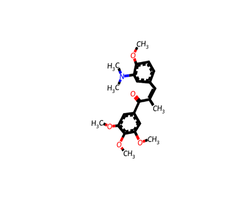 COc1ccc(C=C(C)C(=O)c2cc(OC)c(OC)c(OC)c2)cc1N(C)C